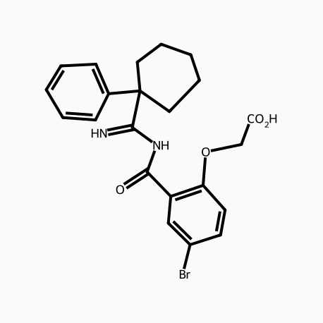 N=C(NC(=O)c1cc(Br)ccc1OCC(=O)O)C1(c2ccccc2)CCCCC1